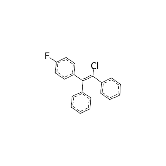 Fc1ccc(C(=C(Cl)c2ccccc2)c2ccccc2)cc1